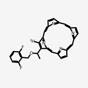 [2H]C1=C(C(C)OCc2c(F)cccc2F)C2=CC3=NC(=CC4=NC(=CC5=NC(=CC1=N2)C=C5)C=C4)C=C3